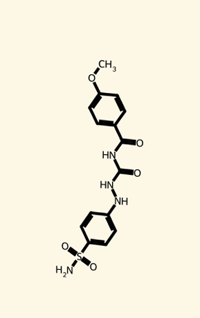 COc1ccc(C(=O)NC(=O)NNc2ccc(S(N)(=O)=O)cc2)cc1